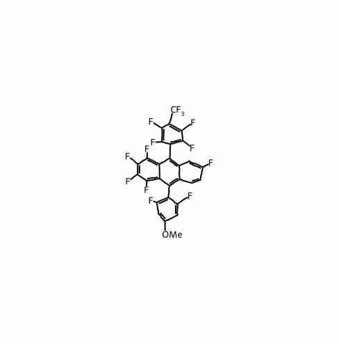 COc1cc(F)c(-c2c3ccc(F)cc3c(-c3c(F)c(F)c(C(F)(F)F)c(F)c3F)c3c(F)c(F)c(F)c(F)c23)c(F)c1